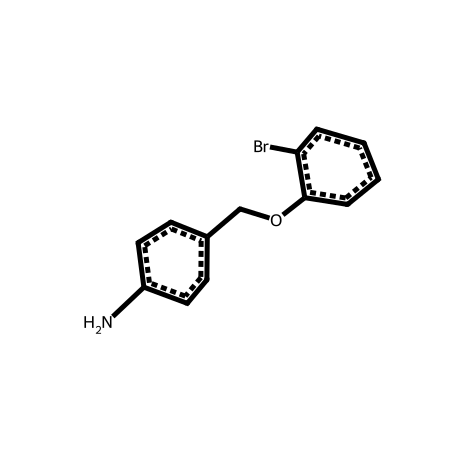 Nc1ccc(COc2ccccc2Br)cc1